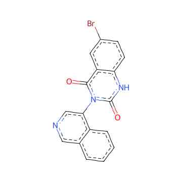 O=c1[nH]c2ccc(Br)cc2c(=O)n1-c1cncc2ccccc12